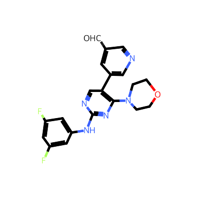 O=Cc1cncc(-c2cnc(Nc3cc(F)cc(F)c3)nc2N2CCOCC2)c1